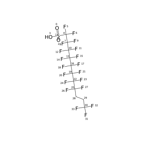 O=S(=O)(O)C(F)(F)C(F)(F)C(F)(F)C(F)(F)C(F)(F)C(F)(F)C(F)(F)C(F)(F)CCC(F)(F)F